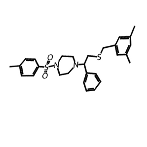 Cc1ccc(S(=O)(=O)N2CCN(C(CSCc3cc(C)cc(C)c3)c3ccccc3)CC2)cc1